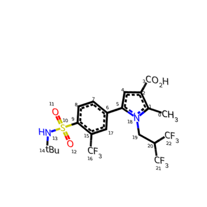 Cc1c(C(=O)O)cc(-c2ccc(S(=O)(=O)NC(C)(C)C)c(C(F)(F)F)c2)n1CC(C(F)(F)F)C(F)(F)F